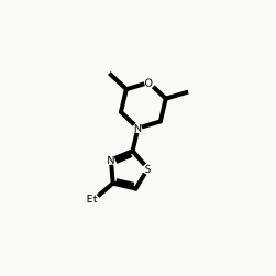 CCc1csc(N2CC(C)OC(C)C2)n1